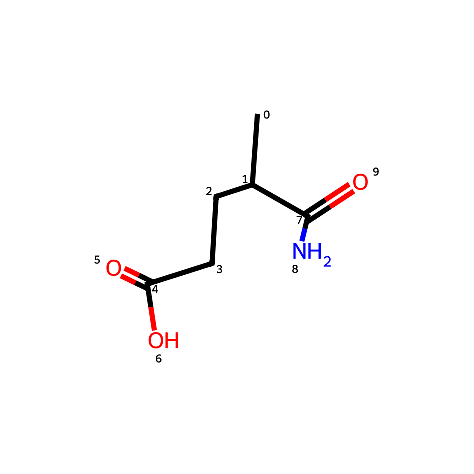 CC(CCC(=O)O)C(N)=O